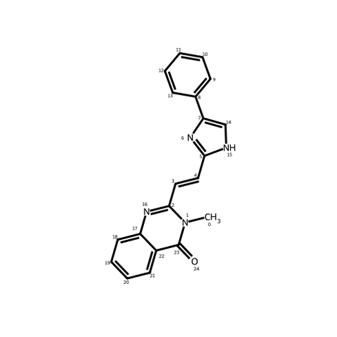 Cn1c(/C=C/c2nc(-c3ccccc3)c[nH]2)nc2ccccc2c1=O